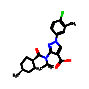 Cc1cc(-n2cc(C(=O)O)c(N(C(=O)[C@H]3CC[C@H](C)CC3)C(C)C)n2)ccc1Cl